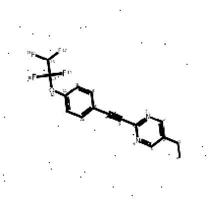 CCc1cnc(C#Cc2ccc(OC(F)(F)C(F)F)cc2)nc1